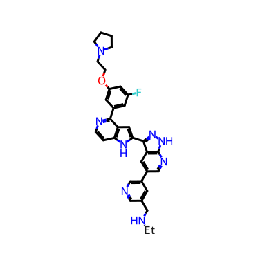 CCNCc1cncc(-c2cnc3[nH]nc(-c4cc5c(-c6cc(F)cc(OCCN7CCCC7)c6)nccc5[nH]4)c3c2)c1